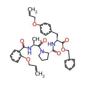 C=CCOc1ccc(C[C@H](NC(=O)[C@@H]2CCCN2C(=O)[C@H](C)NC(=O)c2ccccc2OCC=C)C(=O)OCc2ccccc2)cc1